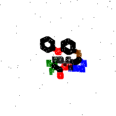 O=C(O)C(F)(F)F.O=C(O)c1[nH]nnc1Sc1cccc(OC2CCCCC2)c1